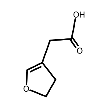 O=C(O)CC1=COCC1